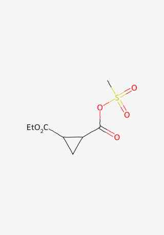 CCOC(=O)C1CC1C(=O)OS(C)(=O)=O